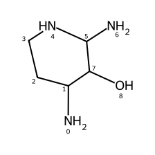 NC1CCNC(N)C1O